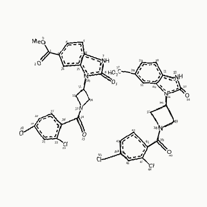 COC(=O)c1ccc2[nH]c(=O)n(C3CN(C(=O)c4ccc(Cl)cc4Cl)C3)c2c1.O=C(O)c1ccc2[nH]c(=O)n(C3CN(C(=O)c4ccc(Cl)cc4Cl)C3)c2c1